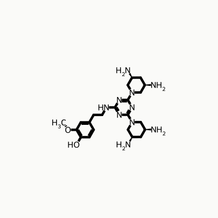 COc1cc(CCNc2nc(N3C[C@H](N)C[C@H](N)C3)nc(N3C[C@H](N)C[C@H](N)C3)n2)ccc1O